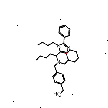 CCCCC(c1cnc(-c2ccccc2)n1CCCC)N(Cc1ccc(CO)cc1)CC1CCCCC1